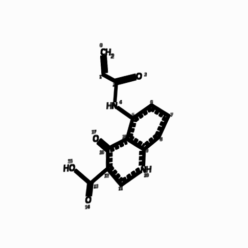 C=CC(=O)Nc1cccc2[nH]cc(C(=O)O)c(=O)c12